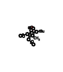 Cc1cc2c3c(c1)N(c1ccc(C(C)(C)C)cc1-c1ccccc1)c1cc4c(cc1B3c1ccc(-c3cc5ccccc5o3)cc1N2c1cccc(-c2cc3ccccc3o2)c1)OCO4